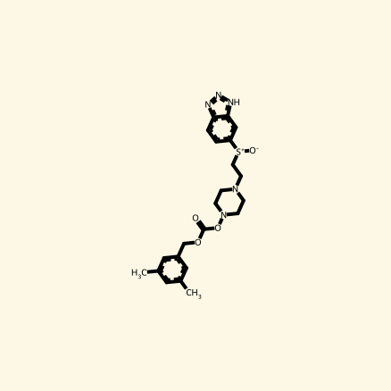 Cc1cc(C)cc(COC(=O)ON2CCN(CC[S+]([O-])c3ccc4nn[nH]c4c3)CC2)c1